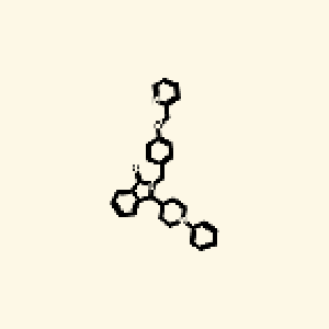 O=C1c2ccccc2C(C2CCN(c3ccccc3)CC2)N1CC1=CC=C(OCc2ccccn2)CC1